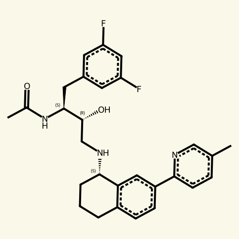 CC(=O)N[C@@H](Cc1cc(F)cc(F)c1)[C@H](O)CN[C@H]1CCCc2ccc(-c3ccc(C)cn3)cc21